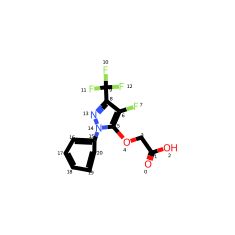 O=C(O)COc1c(F)c(C(F)(F)F)nn1-c1ccccc1